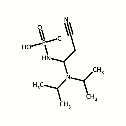 CC(C)N(C(C)C)C(CC#N)NP(=O)(O)Cl